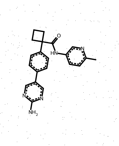 Cc1ccc(NC(=O)C2(c3ccc(-c4cnc(N)nc4)cc3)CCC2)cn1